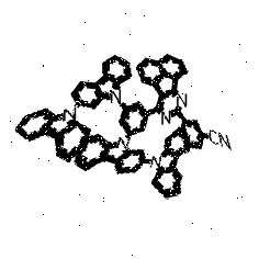 N#Cc1cccc(-c2nc(-c3cc(-n4c5ccccc5c5ccc(-n6c7ccccc7c7ccccc76)cc54)cc(-n4c5ccccc5c5ccc(-n6c7ccccc7c7ccccc76)cc54)c3)c3c(n2)-c2cccc4cccc-3c24)c1